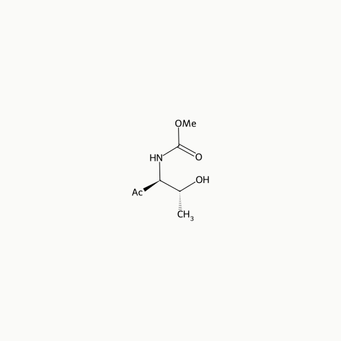 COC(=O)N[C@H](C(C)=O)[C@@H](C)O